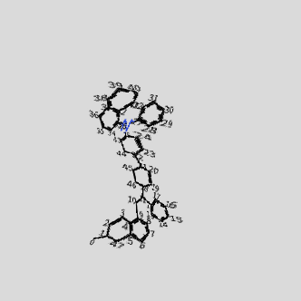 CC1C=Cc2c(cccc2CC(c2ccccc2)C2C=CC(C3C=CC(N(c4ccccc4)c4cccc5ccccc45)=CC3)CC2)C1